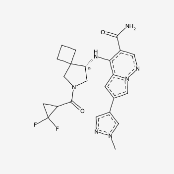 Cn1cc(-c2cc3c(N[C@@H]4CN(C(=O)C5CC5(F)F)CC45CCC5)c(C(N)=O)cnn3c2)cn1